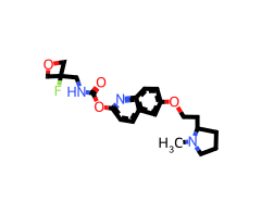 CN1CCCC1CCOc1ccc2nc(OC(=O)NCC3(F)COC3)ccc2c1